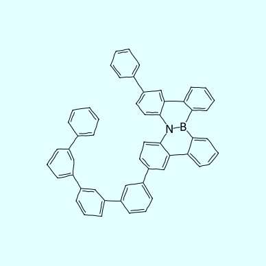 c1ccc(-c2cccc(-c3cccc(-c4cccc(-c5ccc6c(c5)-c5ccccc5B5c7ccccc7-c7cc(-c8ccccc8)ccc7N56)c4)c3)c2)cc1